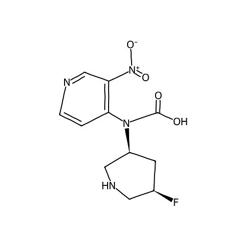 O=C(O)N(c1ccncc1[N+](=O)[O-])[C@@H]1CNC[C@H](F)C1